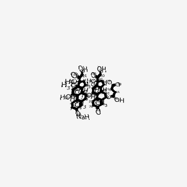 C[C@]12CCC(=O)C=C1CC[C@@H]1[C@@H]2[C@@H](O)C[C@@]2(C)[C@H]1CC[C@]2(O)C(=O)CO.C[C@]12CCC(=O)C=C1CC[C@@H]1[C@@H]2[C@@H](O)C[C@@]2(C)[C@H]1CC[C@]2(O)C(=O)CO.O=C(O)CCC(=O)O.[NaH]